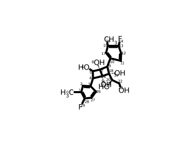 Cc1cc(C2C(O)[C@@]3(O)C(c4ccc(F)c(C)c4)[C@@](O)([C@H](O)CO)[C@@]23O)ccc1F